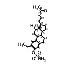 CCc1cc2c(cc1OS(N)(=O)=O)CCC1C2CCC2(C)C(CCOC(C)=O)CCC12